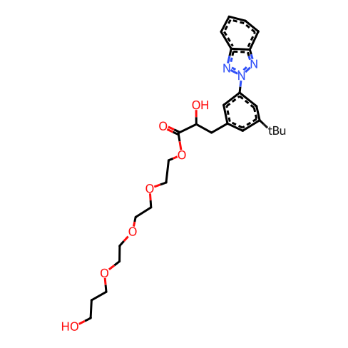 CC(C)(C)c1cc(CC(O)C(=O)OCCOCCOCCOCCCO)cc(-n2nc3ccccc3n2)c1